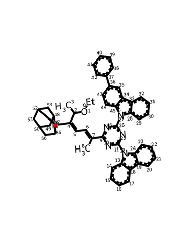 CCOC(C)/C(=C\C=C(/C)c1nc(-n2c3ccccc3c3ccccc32)nc(-n2c3ccccc3c3cc(-c4ccccc4)ccc32)n1)N1C2CC3CC(C2)CC1C3